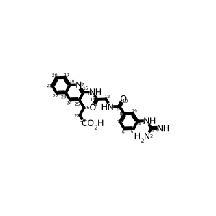 N=C(N)Nc1cccc(C(=O)NCC(=O)Nc2nc3ccccc3cc2CCC(=O)O)c1